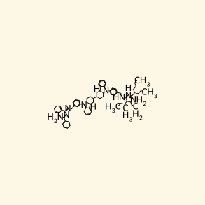 C=CCC(C(C)CC)[C@@H](NCc1ccc(N2c3ccccc3[C@@H]3CC(C4CCC5[C@@H](C4)C4=CC=CCC4N5c4cccc(C/N=C(\N=C(/N)C5=CC=CCC5)C5=CCCC=C5)c4)CCC32)cc1)NC(N)[C@H](CCC)CCCC